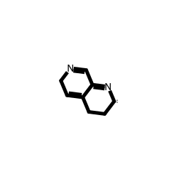 [C]1CCC2=CCN=CC2=N1